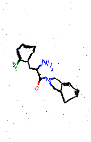 NC(Cc1ccccc1F)C(=O)N1Cc2ccccc2C1